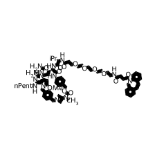 CCCCCNc1nc(N)nc2ccn(Cc3ccc(CN4CC(N(C)C(=O)OCc5ccc(NC(=O)[C@H](CCCNC(N)=O)NC(=O)[C@@H](NC(=O)CCOCCOCCOCCOCCNC(=O)CCC(=O)N6Cc7ccccc7/C=C\c7ccccc76)C(C)C)cc5)C4)cc3OC)c12